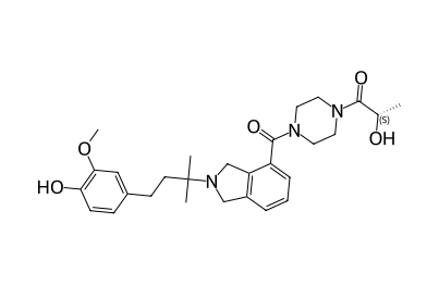 COc1cc(CCC(C)(C)N2Cc3cccc(C(=O)N4CCN(C(=O)[C@H](C)O)CC4)c3C2)ccc1O